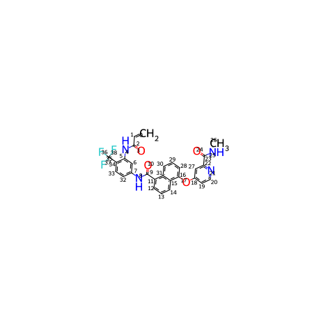 C=CC(=O)Nc1cc(NC(=O)c2cccc3c(Oc4ccnc(C(=O)NC)c4)cccc23)ccc1C(F)(F)F